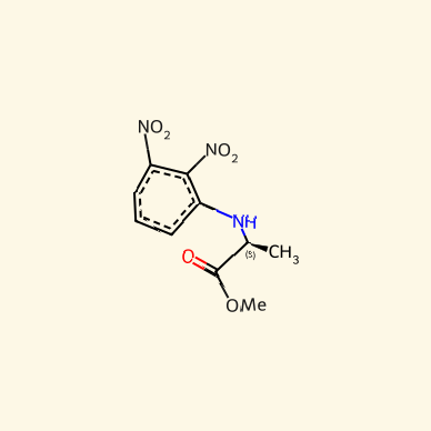 COC(=O)[C@H](C)Nc1cccc([N+](=O)[O-])c1[N+](=O)[O-]